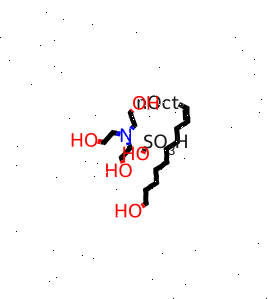 CCCCCCCC/C=C\CCCCCCCCO.O=S(=O)(O)O.OCCN(CCO)CCO